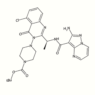 C[C@H](NC(=O)c1c(N)nn2cccnc12)c1nc2cccc(Cl)c2c(=O)n1N1CCN(C(=O)OC(C)(C)C)CC1